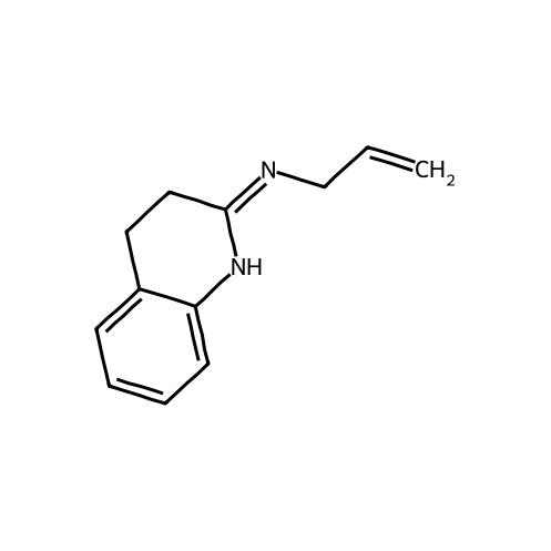 C=CCN=C1CCc2ccccc2N1